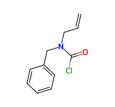 C=CCN(Cc1ccccc1)C(=O)Cl